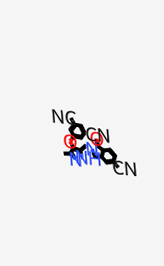 Cc1n[nH]c(CN2CC3C=C(C#N)C=CC3C2=O)c1Oc1cc(C#N)cc(C#N)c1